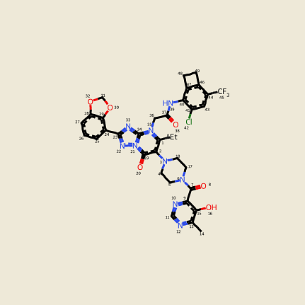 CCc1c(N2CCN(C(=O)c3ncnc(C)c3O)CC2)c(=O)n2nc(-c3cccc4c3OCO4)nc2n1CC(=O)Nc1c(Cl)cc(C(F)(F)F)c2c1CC2